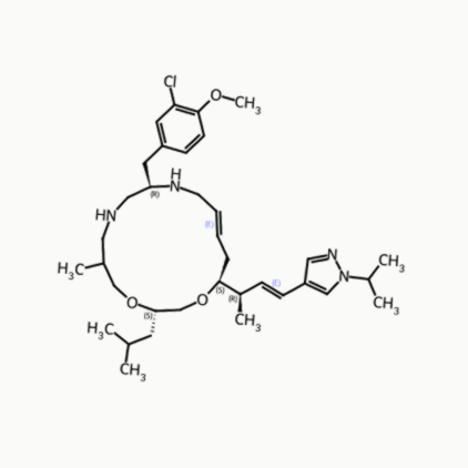 COc1ccc(C[C@@H]2CNCC(C)CO[C@@H](CC(C)C)CO[C@H]([C@H](C)/C=C/c3cnn(C(C)C)c3)C/C=C/CN2)cc1Cl